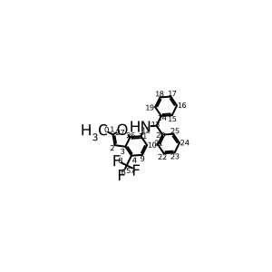 Cc1cc2c(C(F)(F)F)ccc(NC(c3ccccc3)c3ccccc3)c2o1